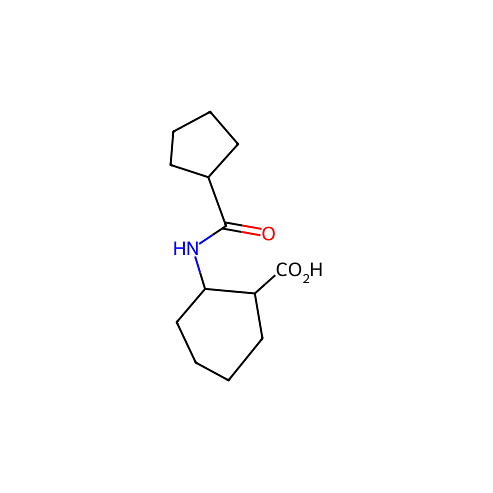 O=C(NC1CCCCC1C(=O)O)C1CCCC1